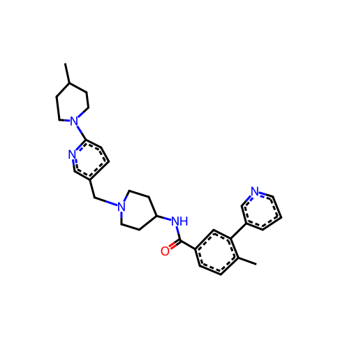 Cc1ccc(C(=O)NC2CCN(Cc3ccc(N4CCC(C)CC4)nc3)CC2)cc1-c1cccnc1